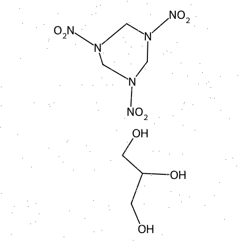 O=[N+]([O-])N1CN([N+](=O)[O-])CN([N+](=O)[O-])C1.OCC(O)CO